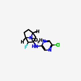 O=C(O)N1[C@@H]2CC[C@H]1[C@H](F)[C@H](Nc1cnc(Cl)cn1)C2